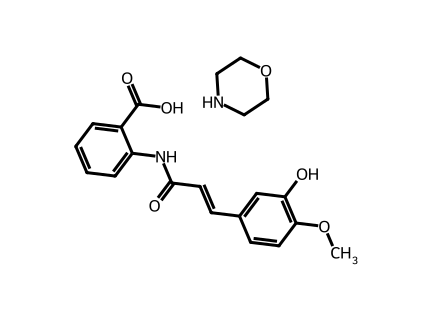 C1COCCN1.COc1ccc(/C=C/C(=O)Nc2ccccc2C(=O)O)cc1O